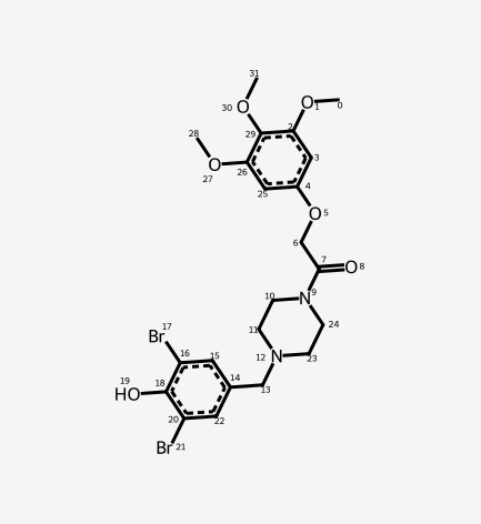 COc1cc(OCC(=O)N2CCN(Cc3cc(Br)c(O)c(Br)c3)CC2)cc(OC)c1OC